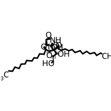 CCCCCCCCCCCCCC(=O)[C@@]1(O)[C@H](O)[C@@H](CO)O[C@@]1(C(=O)CCCCCCCCCCCCC)n1ccc(=O)[nH]c1=O